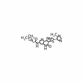 Cc1ncncc1-c1cn2nc3c4ncc(NC(=O)CN5CC(C)(C)C5)cc4[nH]c(=O)c3c2s1